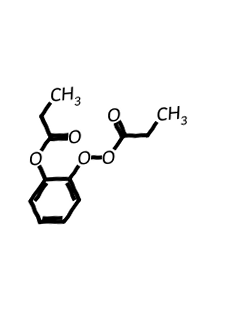 CCC(=O)OOc1ccccc1OC(=O)CC